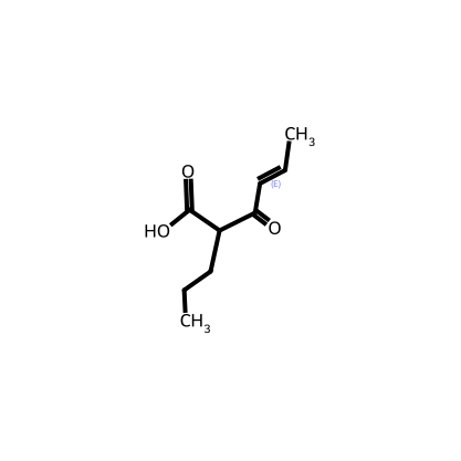 C/C=C/C(=O)C(CCC)C(=O)O